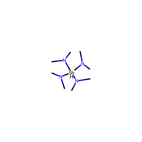 C[N](C)[SbH]([N](C)C)([N](C)C)[N](C)C